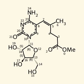 COC(=O)CCC(C)=Cc1cn([C@@H]2O[C@H](CO)[C@@H](O)[C@@H]2O)c(=O)nc1N